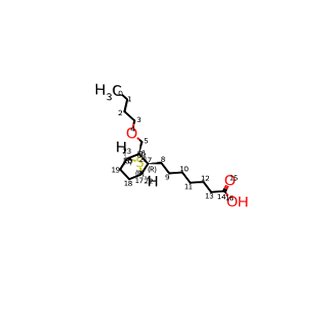 CCCCOC[C@H]1[C@@H](CCCCCCC(=O)O)[C@H]2CC[C@@H]1S2